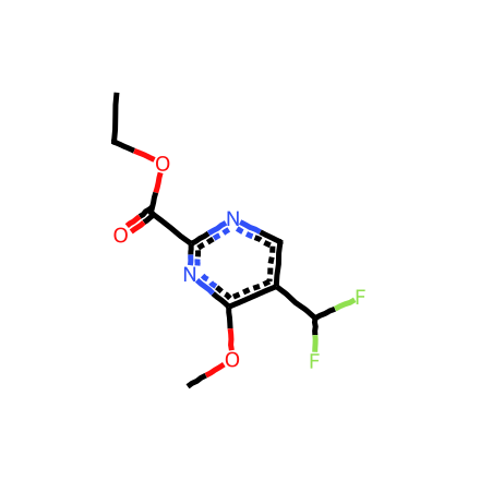 CCOC(=O)c1ncc(C(F)F)c(OC)n1